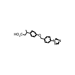 CC(CC(=O)O)c1ccc(OCc2ccc(-n3cncn3)cc2)cc1